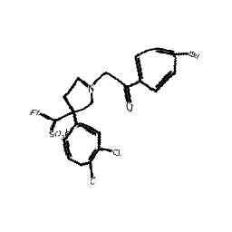 CCC(C1(c2ccc(Cl)c(Cl)c2)CCN(CC(=O)c2ccc(C(C)(C)C)cc2)C1)S(=O)(=O)O